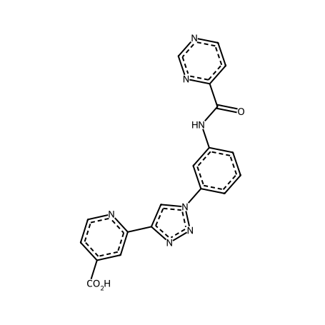 O=C(O)c1ccnc(-c2cn(-c3cccc(NC(=O)c4ccncn4)c3)nn2)c1